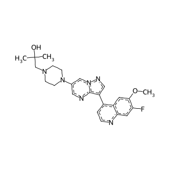 COc1cc2c(-c3cnn4cc(N5CCN(CC(C)(C)O)CC5)cnc34)ccnc2cc1F